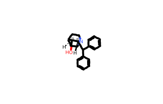 O[C@H]1C2CCN(CC2)[C@@H]1C(c1ccccc1)c1ccccc1